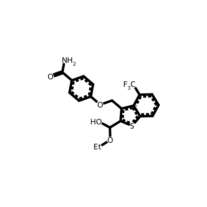 CCOC(O)c1sc2cccc(C(F)(F)F)c2c1COc1ccc(C(N)=O)cc1